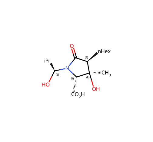 CCCCCC[C@@H]1C(=O)N([C@@H](O)C(C)C)[C@@H](C(=O)O)[C@]1(C)O